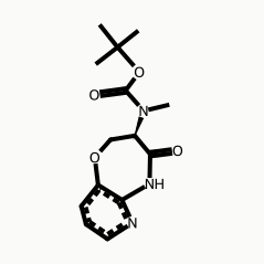 CN(C(=O)OC(C)(C)C)[C@@H]1COc2cccnc2NC1=O